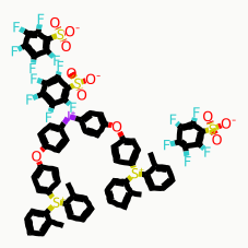 Cc1ccccc1[S+](c1ccc(Oc2ccc([I+]c3ccc(Oc4ccc([S+](c5ccccc5C)c5ccccc5C)cc4)cc3)cc2)cc1)c1ccccc1C.O=S(=O)([O-])c1c(F)c(F)c(F)c(F)c1F.O=S(=O)([O-])c1c(F)c(F)c(F)c(F)c1F.O=S(=O)([O-])c1c(F)c(F)c(F)c(F)c1F